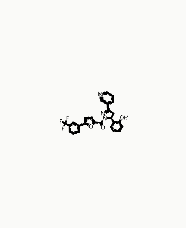 O=C(c1ccc(-c2cccc(C(F)(F)F)c2)o1)N1N=C(c2cccnc2)CC1c1ccccc1O